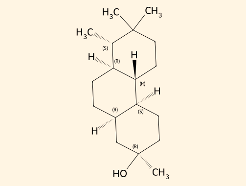 C[C@H]1[C@@H]2CC[C@@H]3C[C@](C)(O)CC[C@@H]3[C@H]2CCC1(C)C